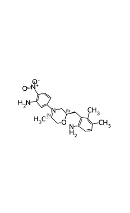 Cc1ccc(N)c(C[C@@H]2CN(c3ccc([N+](=O)[O-])c(N)c3)[C@@H](C)CO2)c1C